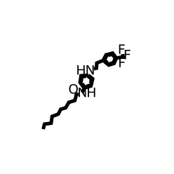 CCCCCCCCCC(=O)Nc1ccc(NCCc2ccc(C(F)(F)F)cc2)cc1